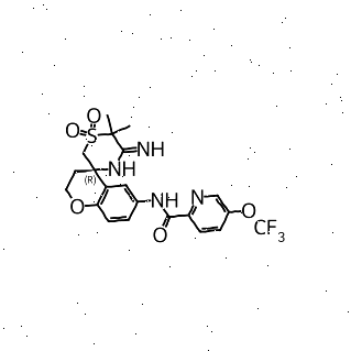 CC1(C)C(=N)N[C@@]2(CCOc3ccc(NC(=O)c4ccc(OC(F)(F)F)cn4)cc32)CS1(=O)=O